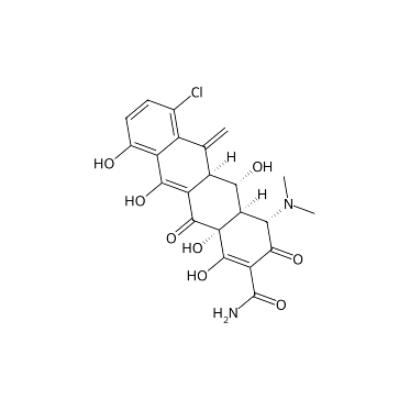 C=C1c2c(Cl)ccc(O)c2C(O)=C2C(=O)[C@]3(O)C(O)=C(C(N)=O)C(=O)[C@@H](N(C)C)[C@@H]3[C@@H](O)[C@H]12